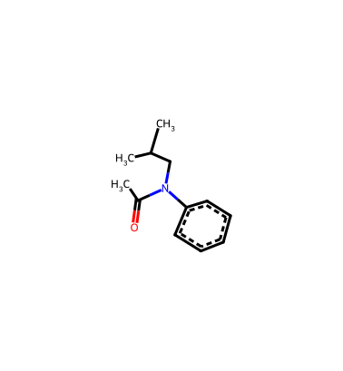 CC(=O)N(CC(C)C)c1ccccc1